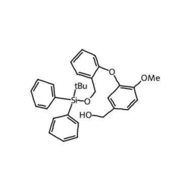 COc1ccc(CO)cc1Oc1ccccc1CO[Si](c1ccccc1)(c1ccccc1)C(C)(C)C